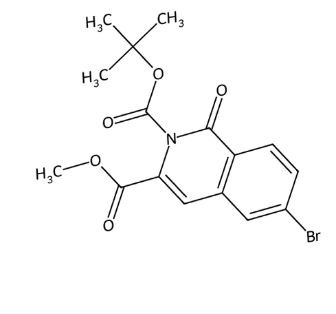 COC(=O)c1cc2cc(Br)ccc2c(=O)n1C(=O)OC(C)(C)C